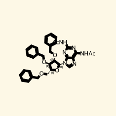 CC(=O)Nc1nc(NC(C)=O)c2ncn([C@@H]3O[C@H](COCc4ccccc4)[C@@H](OCc4ccccc4)[C@@H]3OCc3ccccc3)c2n1